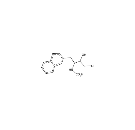 O=C(O)NC(Cc1ccc2ccccc2c1)C(O)CCl